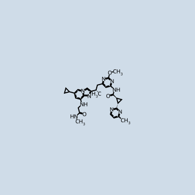 CNC(=O)CNc1cc(C2CC2)cn2cc([C@@H](C)Cc3cc(NC(=O)[C@H]4C[C@@H]4c4nccc(C)n4)nc(OC)n3)nc12